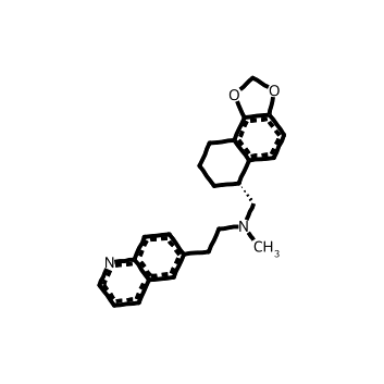 CN(CCc1ccc2ncccc2c1)C[C@@H]1CCCc2c1ccc1c2OCO1